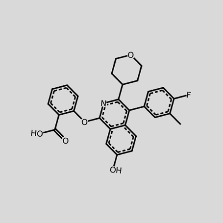 Cc1cc(-c2c(C3CCOCC3)nc(Oc3ccccc3C(=O)O)c3cc(O)ccc23)ccc1F